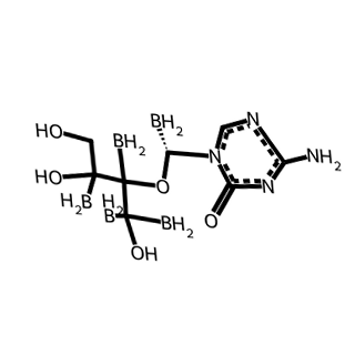 B[C@@H](OC(B)(C(B)(B)O)C(B)(O)CO)n1cnc(N)nc1=O